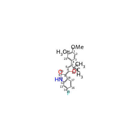 COc1ccc(C2=C/C(=C3\C(=O)Nc4cc(F)ccc43)OC2(C)C)cc1C